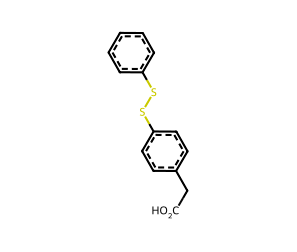 O=C(O)Cc1ccc(SSc2ccccc2)cc1